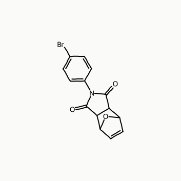 O=C1C2C3C=CC(O3)C2C(=O)N1c1ccc(Br)cc1